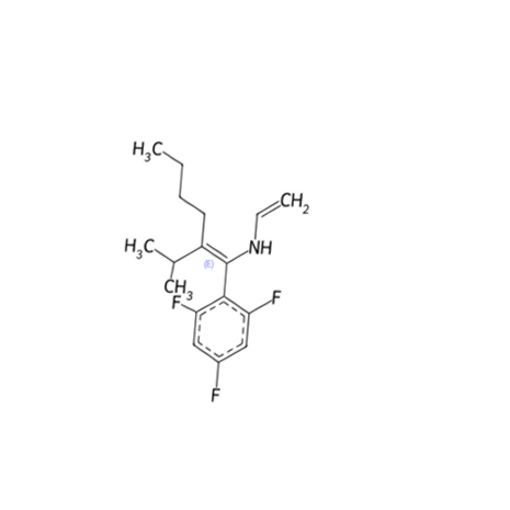 C=CN/C(=C(\CCCC)C(C)C)c1c(F)cc(F)cc1F